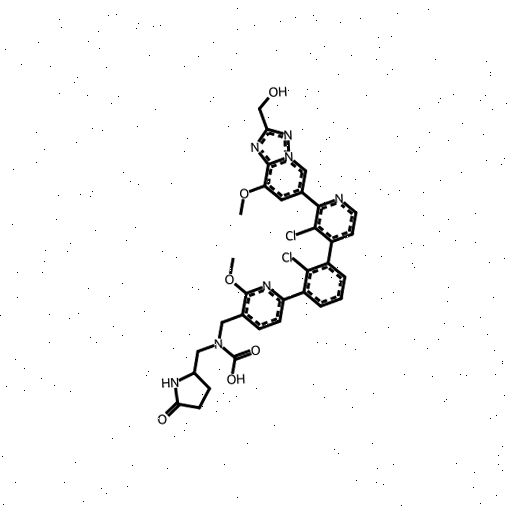 COc1nc(-c2cccc(-c3ccnc(-c4cc(OC)c5nc(CO)nn5c4)c3Cl)c2Cl)ccc1CN(CC1CCC(=O)N1)C(=O)O